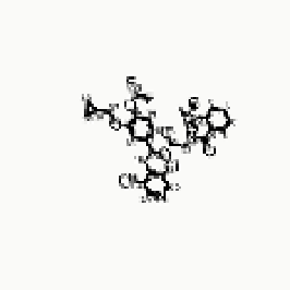 CS(=O)(=O)c1ccccc1C(=O)NCC(=O)O[C@@H](Cc1c(Cl)cncc1Cl)c1ccc(OC(F)F)c(OCC2CC2)c1